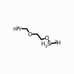 [2H][SiH2]OCCOCCCC